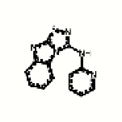 c1ccc(Nc2nsc3nc4ccccc4n23)nc1